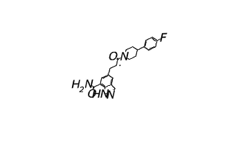 NC(=O)c1cc(C[CH]C(=O)N2CCC(c3ccc(F)cc3)CC2)cc2cn[nH]c12